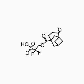 O=C1CCC2(C(=O)OCC(F)(F)S(=O)(=O)O)CC3CC1(C3)C2